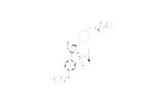 CCNS(=O)(=O)c1cc(C(N)=O)ccc1-c1cnc([C@H]2CC[C@H](OC(N)=O)CC2)s1